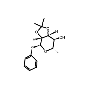 C[C@@H]1O[C@@H](Sc2ccccc2)[C@@H]2OC(C)(C)O[C@@H]2[C@H]1O